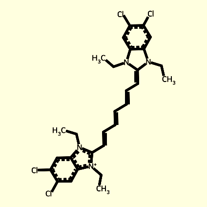 CCN1C(=C/C=C/C=C/C=C/c2n(CC)c3cc(Cl)c(Cl)cc3[n+]2CC)N(CC)c2cc(Cl)c(Cl)cc21